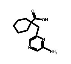 Nc1cncc(CC2(C(=O)O)CCCCC2)n1